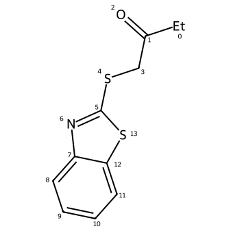 CCC(=O)CSc1nc2ccccc2s1